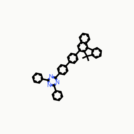 CC1(C)c2ccccc2-c2c1c(-c1ccc(-c3ccc(-c4nc(-c5ccccc5)nc(-c5ccccc5)n4)cc3)cc1)cc1ccccc21